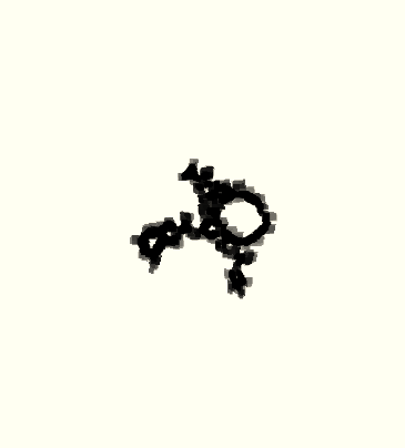 O=C1N[C@]2(C(=O)NS(=O)(=O)C3CC3)C[C@H]2/C=C\CCCCC[C@H](NC(=O)N2CC(F)(F)C2)C(=O)N2C[C@H](OC(=O)N3Cc4cccc(F)c4C3)C[C@@H]12